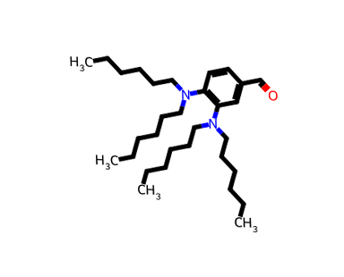 CCCCCCN(CCCCCC)c1ccc(C=O)cc1N(CCCCCC)CCCCCC